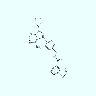 Nc1ncnc2c1c(-c1ccc(CNC(=O)c3cccc4ocnc34)cn1)nn2C1CCCC1